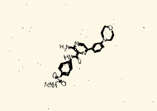 CC(=O)NS(=O)(=O)c1ccc(NC(=O)c2nc(-c3cccc(N4CCOCC4)c3)cnc2N)cc1